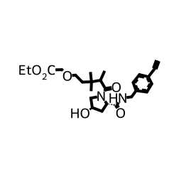 C#Cc1ccc(CNC(=O)[C@@H]2C[C@@H](O)CN2C(=O)C(C)C(C)(C)CCOCC(=O)OCC)cc1